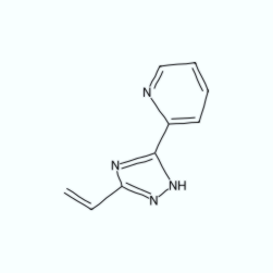 C=Cc1n[nH]c(-c2ccccn2)n1